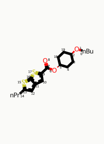 CCCCO[C@H]1CC[C@H](OC(=O)c2cc3cc(CCC)sc3s2)CC1